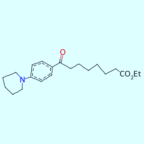 CCOC(=O)CCCCCCC(=O)c1ccc(N2CCCCC2)cc1